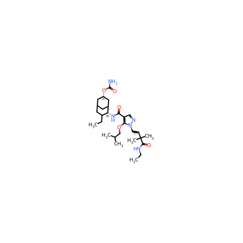 CCNC(=O)C(C)(C)/C=C/n1ncc(C(=O)N[C@@H]2C(CC)CC3CC2C[C@@H](OC(N)=O)C3)c1OCC(C)C